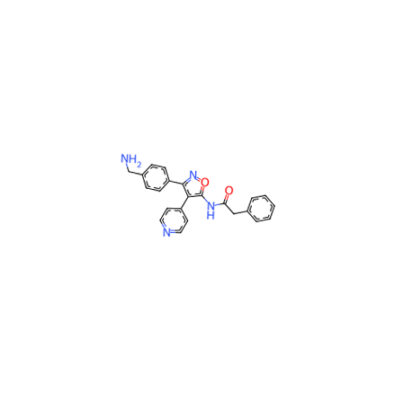 NCc1ccc(-c2noc(NC(=O)Cc3ccccc3)c2-c2ccncc2)cc1